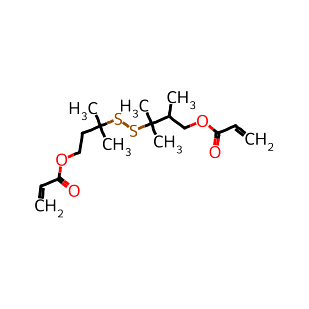 C=CC(=O)OCCC(C)(C)SSC(C)(C)C(C)COC(=O)C=C